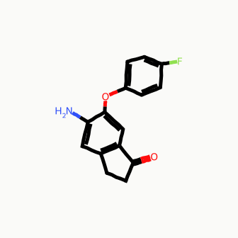 Nc1cc2c(cc1Oc1ccc(F)cc1)C(=O)CC2